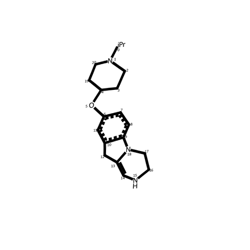 CC(C)N1CCC(Oc2ccc3c(c2)CC2=CNCCN23)CC1